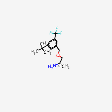 C[C@H](N)COCc1cc(C(C)(C)C)cc(C(F)(F)F)c1